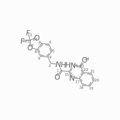 O=C(NCc1ccc2c(c1)OC(F)(F)O2)c1nc2ccccc2c(=O)[nH]1